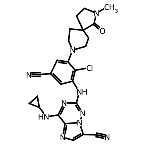 CN1CCC2(CCN(c3cc(C#N)cc(Nc4nc(NC5CC5)c5ncc(C#N)n5n4)c3Cl)CC2)C1=O